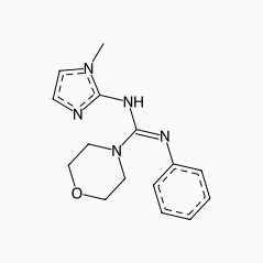 Cn1ccnc1N/C(=N/c1ccccc1)N1CCOCC1